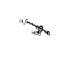 CCCCCCCCCOc1cccc2c1N(CC(=O)O)CC2CCn1ccnc1